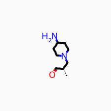 C[C@H](C=O)CN1CCC(N)CC1